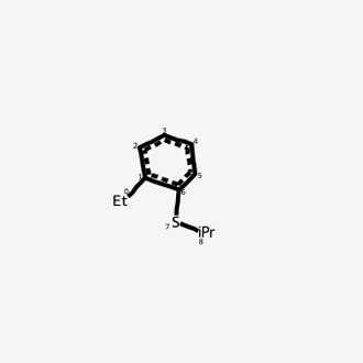 CCc1ccccc1SC(C)C